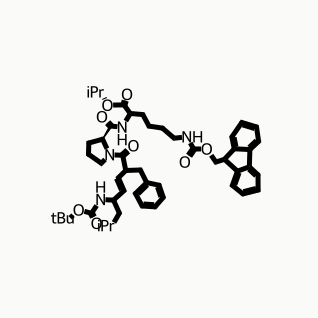 CC(C)CC(/C=C/C(Cc1ccccc1)C(=O)N1CCC[C@H]1C(=O)NC(CCCCNC(=O)OCC1c2ccccc2-c2ccccc21)C(=O)OC(C)C)NC(=O)OC(C)(C)C